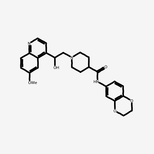 COc1ccc2nccc(C(O)CN3CCC(C(=O)Nc4ccc5c(c4)OCCO5)CC3)c2c1